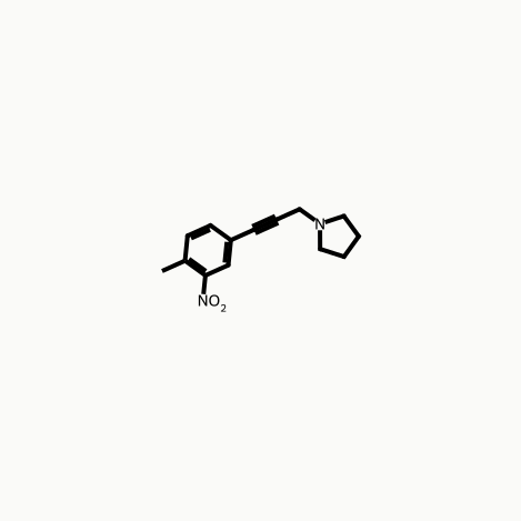 Cc1ccc(C#CCN2CCCC2)cc1[N+](=O)[O-]